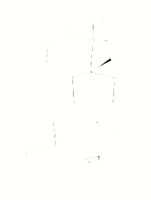 CC(=O)O[C@]1(C)CC[C@H]2C(C)(C)CCC[C@]2(C)[C@H]1CCO